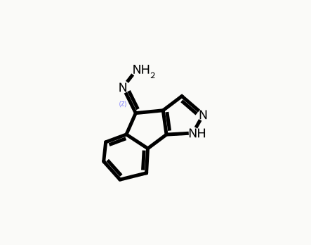 N/N=C1/c2ccccc2-c2[nH]ncc21